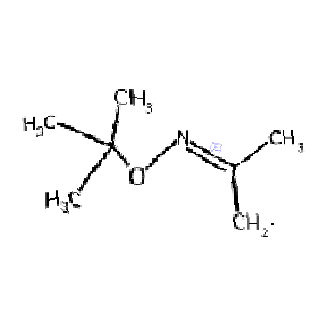 [CH2]/C(C)=N\OC(C)(C)C